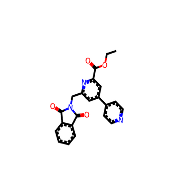 CCOC(=O)c1cc(-c2ccncc2)cc(CN2C(=O)c3ccccc3C2=O)n1